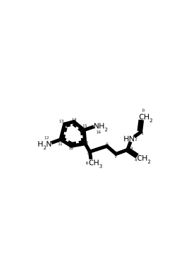 C=CNC(=C)CCC(C)c1cc(N)ccc1N